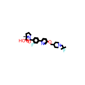 CC(C)(F)CN1CCC(COc2ccc(-c3ccc(C(=O)N4CCC[C@@]4(C)C(=O)O)c(F)c3)nc2)CC1